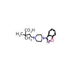 CC(C)(CCN1CCN(c2noc3ccccc23)CC1)C(=O)O